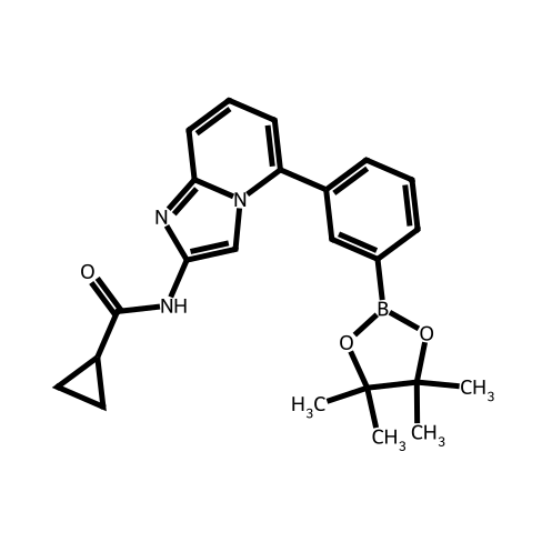 CC1(C)OB(c2cccc(-c3cccc4nc(NC(=O)C5CC5)cn34)c2)OC1(C)C